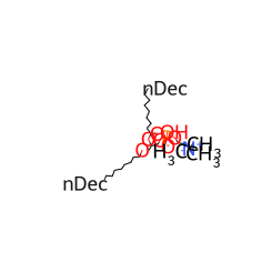 CCCCCCCCCCCCCCCCCCOCC(COP(=O)(O)OCC[N+](C)(C)C)OC(=O)CCCCCCCCCCCCCCCCC